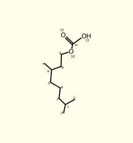 CC(C)CCCC(C)CCOC(=O)O